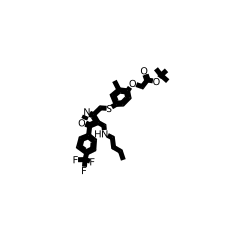 CCCCNCc1c(CSc2ccc(OCC(=O)OC(C)(C)C)c(C)c2)noc1-c1ccc(C(F)(F)F)cc1